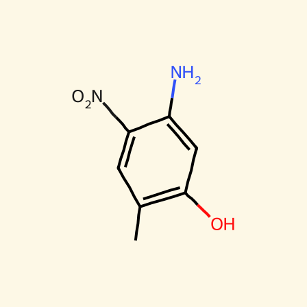 Cc1cc([N+](=O)[O-])c(N)cc1O